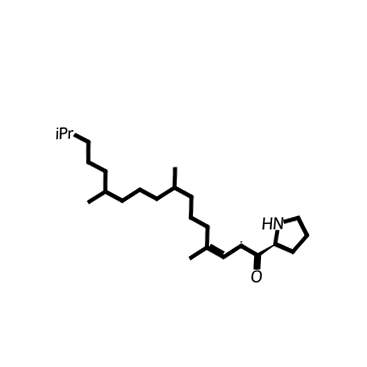 CC(=C[CH]C(=O)[C@@H]1CCCN1)CCCC(C)CCCC(C)CCCC(C)C